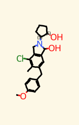 COc1ccc(Cc2cc3c(c(Cl)c2C)CN([C@H]2CCC[C@@H]2O)C3O)cc1